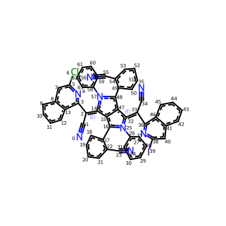 N#C/C(c1nc(Cl)cc2ccccc12)=c1\c2c(-c3ccccc3C#N)n(-c3ccccc3)/c(=C(/C#N)c3nc(I)cc4ccccc34)c2c(-c2ccccc2C#N)n1-c1ccccc1